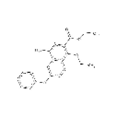 CCOC(=O)c1nc(C)c2cc(Oc3ccccc3)ccc2c1OCC